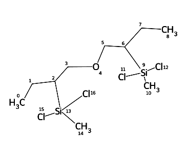 CCC(COCC(CC)[Si](C)(Cl)Cl)[Si](C)(Cl)Cl